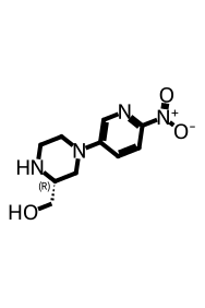 O=[N+]([O-])c1ccc(N2CCN[C@@H](CO)C2)cn1